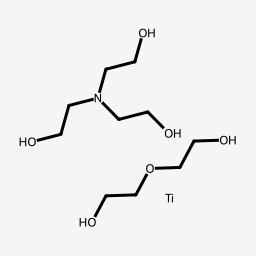 OCCN(CCO)CCO.OCCOCCO.[Ti]